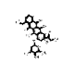 Cc1c2c(c(O)c3c1[C@@H](OC1CC(N)C(O)C(C)O1)C[C@](O)(C(=O)CO)C3)C(=O)c1cccc(CO)c1C2=O